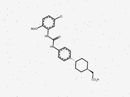 COc1ccc(Cl)cc1NC(=O)Nc1ccc([C@H]2CC[C@H](CC(=O)O)CC2)cc1